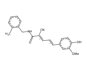 COc1cc(/C=C/C=C(\C#N)C(=O)NCc2ccccc2C)ccc1O